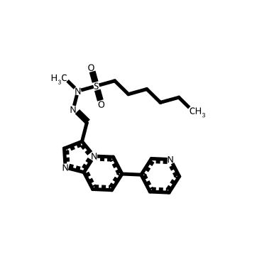 CCCCCCS(=O)(=O)N(C)N=Cc1cnc2ccc(-c3cccnc3)cn12